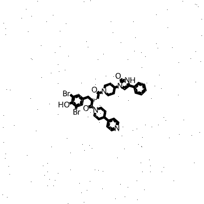 O=C(C[C@@H](Cc1cc(Br)c(O)c(Br)c1)C(=O)N1CCC(c2ccncc2)CC1)N1CCC(n2cc(-c3ccccc3)[nH]c2=O)CC1